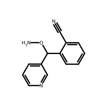 N#Cc1ccccc1C(ON)c1cccnc1